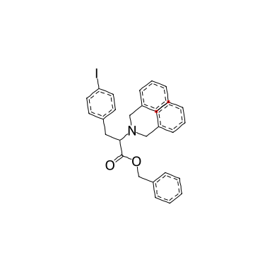 O=C(OCc1ccccc1)C(Cc1ccc(I)cc1)N(Cc1ccccc1)Cc1ccccc1